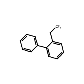 FC(F)(F)[CH]c1ccccc1-c1ccccc1